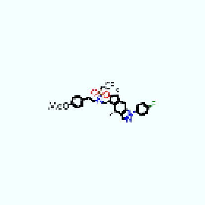 COc1ccc(CCN(C[C@H]2CCC3=C2[C@@H](C)c2cnn(-c4ccc(F)cc4)c2C3)S(=O)(=O)CC(F)(F)F)cc1